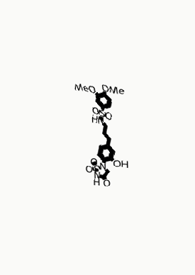 COc1ccc(S(=O)(=O)NCCCc2ccc(N3CC(=O)NS3(=O)=O)c(O)c2)cc1OC